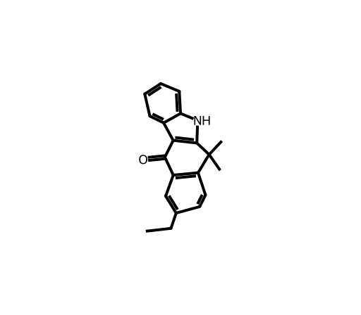 CCc1ccc2c(c1)C(=O)c1c([nH]c3ccccc13)C2(C)C